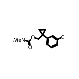 CNC(=O)OCC1(c2cccc(Cl)c2)CC1